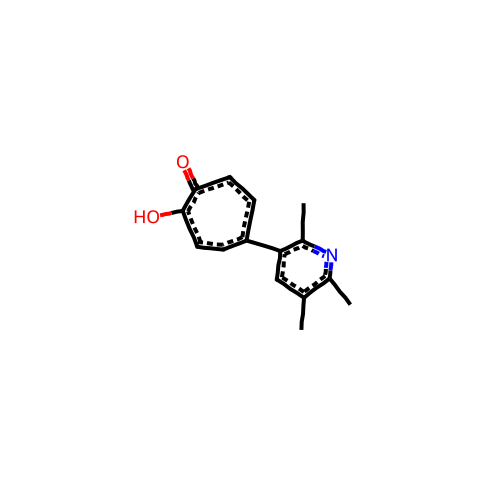 Cc1cc(-c2ccc(O)c(=O)cc2)c(C)nc1C